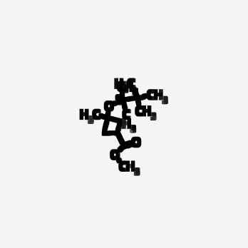 COC(=O)C1CC(C)(O[Si](C)(C)C(C)(C)C)C1